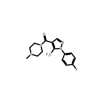 CN1CCN(C(=O)c2cnn(-c3ccc(F)cc3)c2C(F)(F)F)CC1